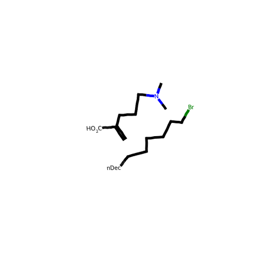 C=C(CCCN(C)C)C(=O)O.CCCCCCCCCCCCCCCCBr